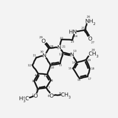 COc1cc2c(cc1OC)-c1c/c(=N\c3ccccc3C)n(CCNC(N)=O)c(=O)n1CC2